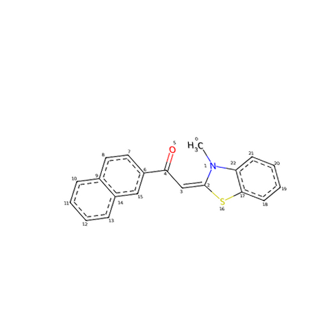 CN1C(=CC(=O)c2ccc3ccccc3c2)Sc2ccccc21